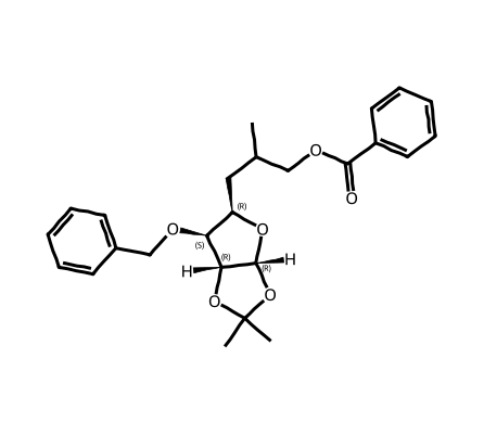 CC(COC(=O)c1ccccc1)C[C@H]1O[C@@H]2OC(C)(C)O[C@@H]2[C@H]1OCc1ccccc1